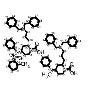 CN(c1ccccc1)C1CCN(C(=O)O)C(CCCN(Cc2ccccc2)Cc2ccccc2)C1.Cc1ccccc1S(=O)(=O)N(c1ccccc1)[C@H]1CCN(C(=O)O)[C@@H](CCCN(Cc2ccccc2)Cc2ccccc2)C1